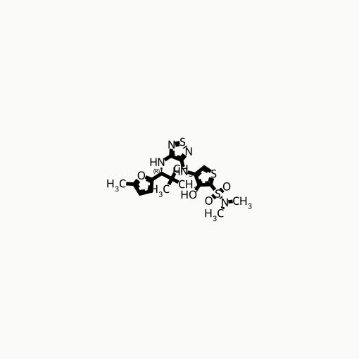 Cc1ccc([C@H](Nc2nsnc2Nc2csc(S(=O)(=O)N(C)C)c2O)C(C)(C)C)o1